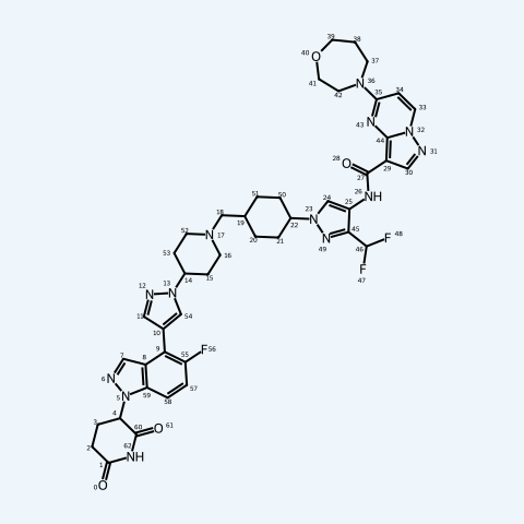 O=C1CCC(n2ncc3c(-c4cnn(C5CCN(CC6CCC(n7cc(NC(=O)c8cnn9ccc(N%10CCCOCC%10)nc89)c(C(F)F)n7)CC6)CC5)c4)c(F)ccc32)C(=O)N1